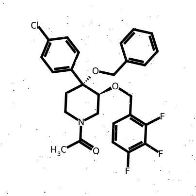 CC(=O)N1CC[C@@](OCc2ccccc2)(c2ccc(Cl)cc2)[C@@H](OCc2ccc(F)c(F)c2F)C1